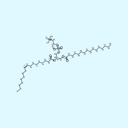 CCCCCCCC/C=C\CCCCCCCC(=O)O[C@H](COC(=O)CCCCCCCCCCCCCCC)COP(=O)(OC)OCC[N+](C)(C)C